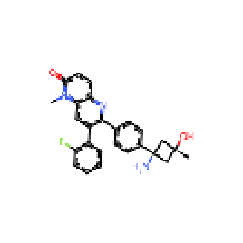 Cn1c(=O)ccc2nc(-c3ccc([C@]4(N)C[C@](C)(O)C4)cc3)c(-c3ccccc3F)cc21